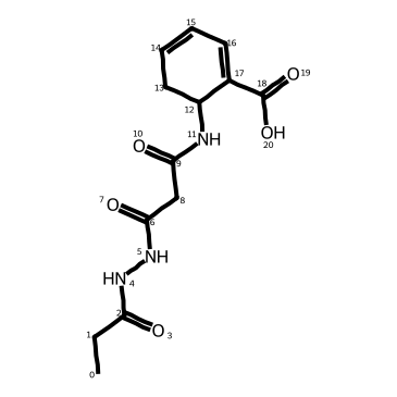 CCC(=O)NNC(=O)CC(=O)NC1CC=CC=C1C(=O)O